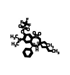 CCCC[C@]1(CC)CS(=O)(=O)c2cc(OS(=O)(=O)C(F)(F)F)c(N(C)C)cc2[C@@H](c2ccccc2)N1